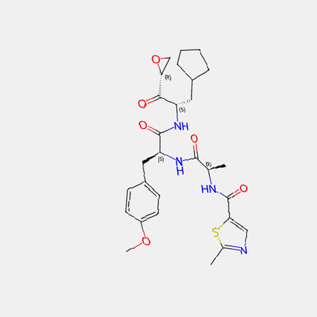 COc1ccc(C[C@H](NC(=O)[C@@H](C)NC(=O)c2cnc(C)s2)C(=O)N[C@@H](CC2CCCC2)C(=O)[C@H]2CO2)cc1